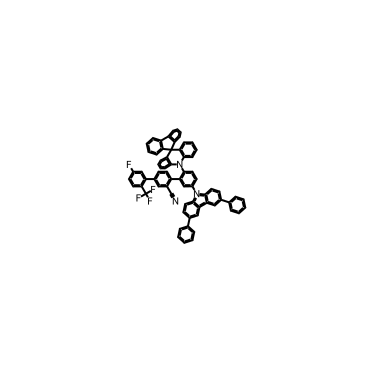 N#Cc1cc(-c2cc(F)ccc2C(F)(F)F)ccc1-c1cc(-n2c3ccc(-c4ccccc4)cc3c3cc(-c4ccccc4)ccc32)ccc1N1c2ccccc2C2(c3ccccc3-c3ccccc32)c2ccccc21